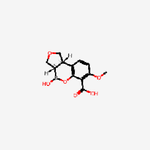 COc1ccc2c(c1C(=O)O)OB(O)[C@@H]1COC[C@H]21